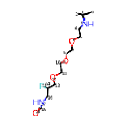 CC(C)NCCOCCOCCOCC(F)CNC=O